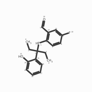 CCC(CC)(Pc1ccc(F)cc1C=O)c1ccccc1O